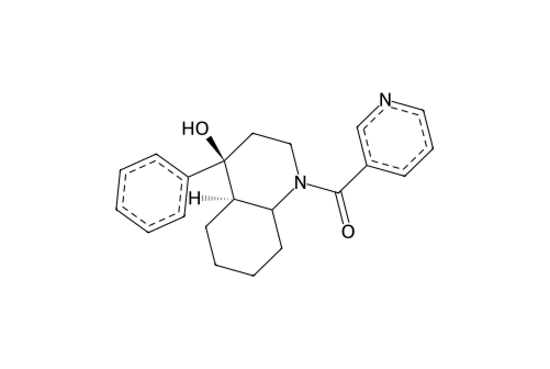 O=C(c1cccnc1)N1CC[C@@](O)(c2ccccc2)[C@@H]2CCCCC21